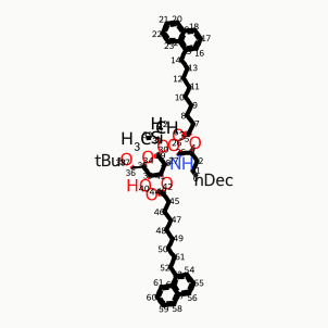 CCCCCCCCCCCCC(OC(=O)CCCCCCCCc1cccc2ccccc12)C(=O)N[C@H]1C(O[SiH](C)C)O[C@H](COC(C)(C)C)[C@@H](O)[C@@H]1OC(=O)CCCCCCCCc1cccc2ccccc12